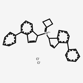 C1=C[CH]([Hf+2](=[C]2CCC2)[CH]2C=Cc3c(-c4ccccc4)cccc32)c2cccc(-c3ccccc3)c21.[Cl-].[Cl-]